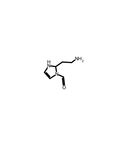 NCCC1NC=CN1C=O